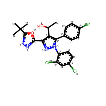 CC(O)c1c(-c2nnc(C(C)(C)C)o2)nn(-c2ccc(Cl)cc2Cl)c1-c1ccc(Br)cc1